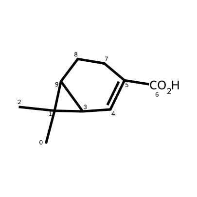 CC1(C)C2C=C(C(=O)O)CCC21